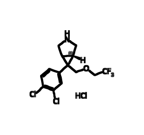 Cl.FC(F)(F)COCC1(c2ccc(Cl)c(Cl)c2)C2CNC[C@@H]21